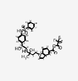 CC(C)(CCn1ccc2cc(C(=O)OC(=O)C(F)(F)F)ccc21)NC[C@H](O)c1ccc(NS(=O)(=O)c2ccccc2)cc1